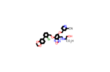 N#Cc1cc(COc2cc(OCc3cccc(-c4ccc5c(c4)OCCO5)c3Br)c3nonc3c2CNC(CO)C(=O)O)ccn1